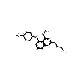 CCCOc1nc(NC)c2c(OC3CCN(C)CC3)cccc2n1